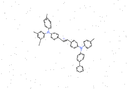 Cc1ccc(N(c2ccc(/C=C/c3ccc(N(c4ccc(C)cc4)c4cc(C)cc(C)c4)cc3)cc2)c2ccc(-c3ccccc3)cc2)cc1